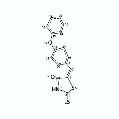 O=C1NC(=S)S/C1=C/c1ccc(Oc2ccccc2)cc1